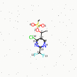 CC(OS(C)(=O)=O)c1cnc(C(F)F)nc1Cl